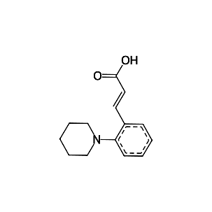 O=C(O)/C=C/c1ccccc1N1CCCCC1